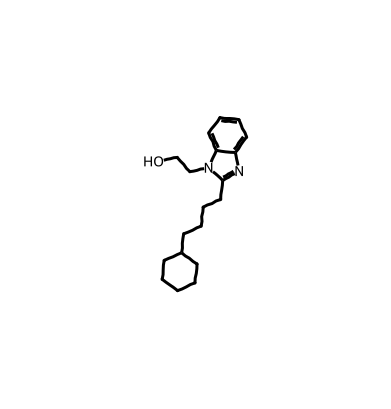 OCCn1c(CCCCC2CCCCC2)nc2ccccc21